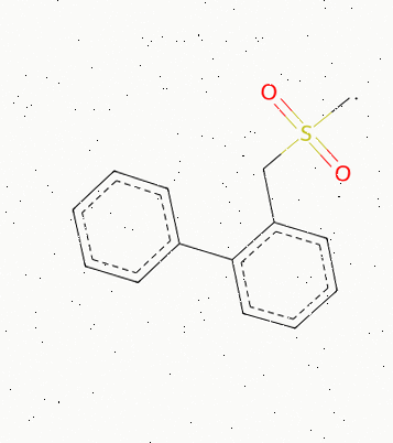 [CH2]S(=O)(=O)Cc1ccccc1-c1ccccc1